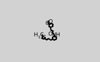 Cc1ccc(/C=C/Cc2cccc(NC(=O)/C=C/c3ccc4c(c3)OCO4)c2)s1